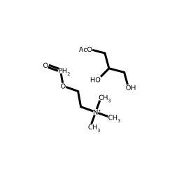 CC(=O)OCC(O)CO.C[N+](C)(C)CCO[PH2]=O